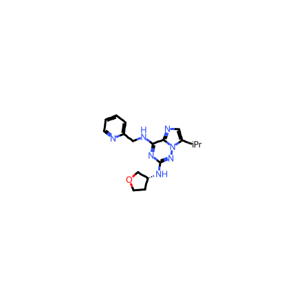 CC(C)c1cnc2c(NCc3ccccn3)nc(N[C@@H]3CCOC3)nn12